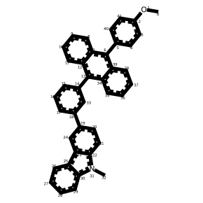 COc1ccc(-c2c3ccccc3c(-c3cccc(-c4ccc5c(c4)c4ccccc4n5C)c3)c3ccccc23)cc1